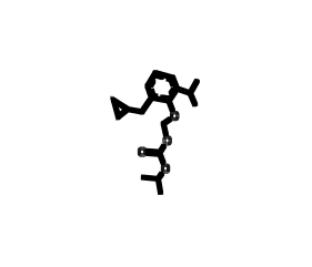 CC(C)OC(=O)OCOc1c(CC2CC2)cccc1C(C)C